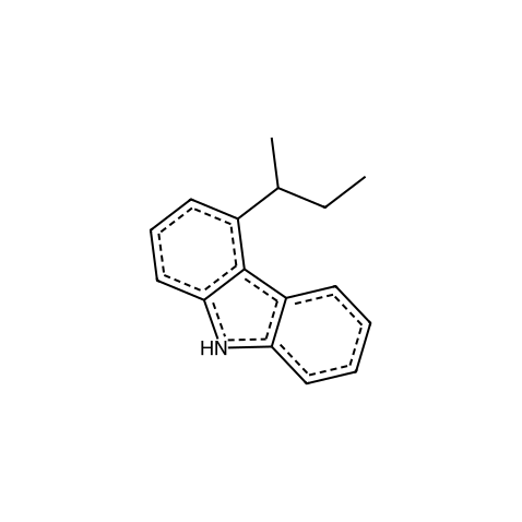 CCC(C)c1cccc2[nH]c3ccccc3c12